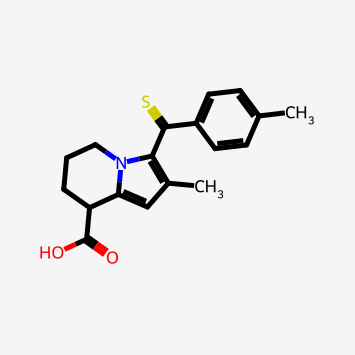 Cc1ccc(C(=S)c2c(C)cc3n2CCCC3C(=O)O)cc1